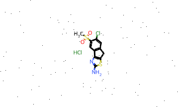 CS(=O)(=O)c1cc2c(cc1Cl)Cc1sc(N)nc1-2.Cl